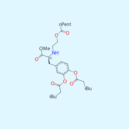 CCCCCC(=O)OCCN[C@@H](Cc1ccc(OC(=O)CC(C)CC)c(OC(=O)CC(C)CC)c1)C(=O)OC